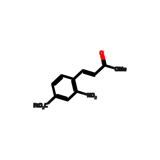 CCOC(=O)c1ccc(C=CC(=O)OC)c([N+](=O)[O-])c1